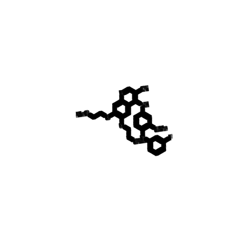 COCCOc1cc2ncc(C#N)c(Nc3ccc(Oc4cccc(F)c4)c(OC)c3)c2cc1OCCOC